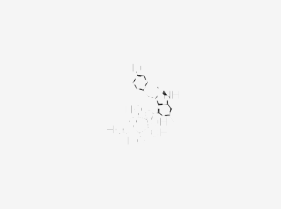 CCc1ccc(Cc2n[nH]c3cc(C)cc(O[C@]4(O)[C@H](O)O[C@H](CO)[C@@H](O)[C@@H]4O)c23)cc1